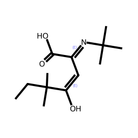 CCC(C)(C)/C(O)=C\C(=N/C(C)(C)C)C(=O)O